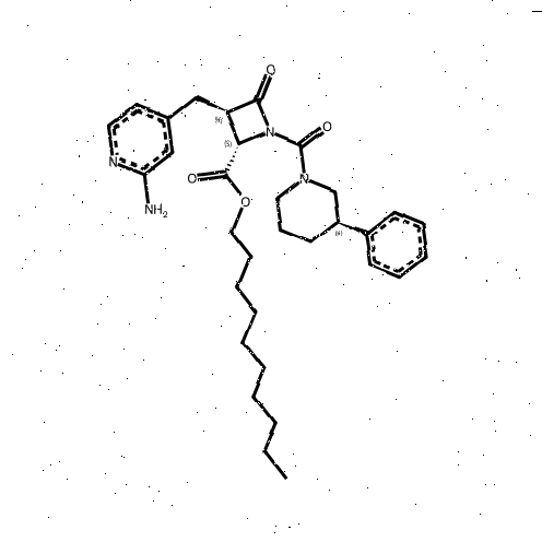 CCCCCCCCCCOC(=O)[C@@H]1[C@@H](Cc2ccnc(N)c2)C(=O)N1C(=O)N1CCC[C@H](c2ccccc2)C1